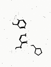 O=C(CO)c1ccc(Oc2ccc3c(c2)COB3O)nc1OCC1CCCC1